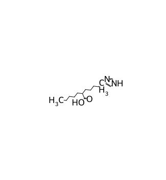 CCCCCC(CCCCC)C(=O)O.c1c[nH]cn1